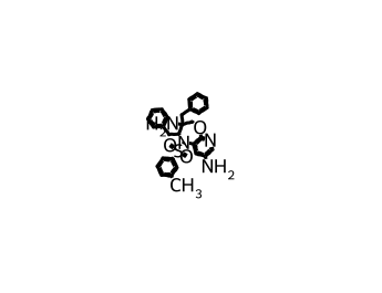 Cc1cccc(S(=O)(=O)N2c3cc(N)cnc3OCC(N)(Cc3ccccc3)C2Cc2ccccc2)c1